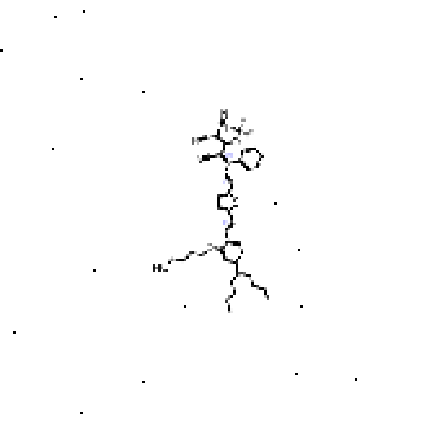 CCCCN(CCCC)C1C=C(OCCCCO)C(/C=C/c2ccc(/C=C/C(=C(\C#N)C(OC(F)(F)F)=C(C#N)C#N)c3ccccc3)s2)=CC1